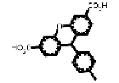 Cc1ccc(C2c3ccc(C(=O)O)cc3Oc3cc(C(=O)O)ccc32)cc1